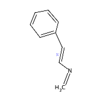 C=N/C=C/c1ccccc1